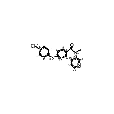 CN(C(=O)c1ccc(Sc2ccc(Cl)cc2)nc1)c1cccnc1